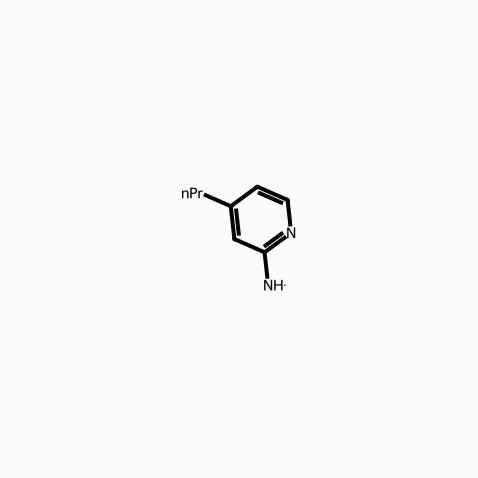 CCCc1ccnc([NH])c1